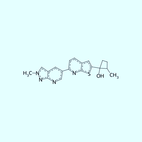 CC1CCC1(O)c1cc2ccc(-c3cnc4nn(C)cc4c3)nc2s1